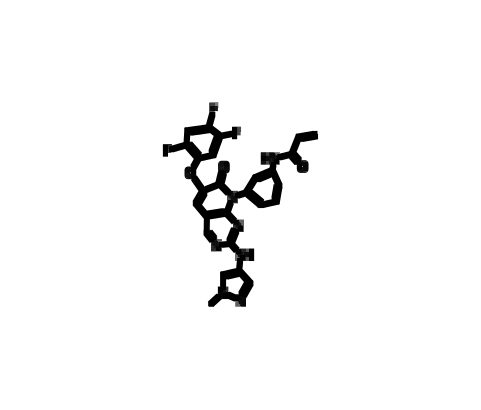 C=CC(=O)Nc1cccc(-n2c(=O)c(Oc3cc(F)c(F)cc3F)cc3cnc(Nc4cnn(C)c4)nc32)c1